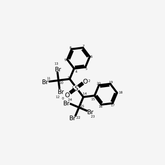 O=S(=O)(C(c1ccccc1)C(Br)(Br)Br)C(c1ccccc1)C(Br)(Br)Br